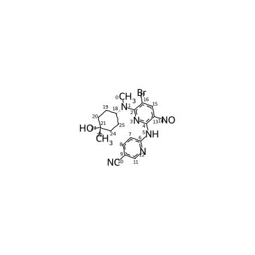 CN(c1nc(Nc2ccc(C#N)cn2)c(N=O)cc1Br)[C@H]1CC[C@@](C)(O)CC1